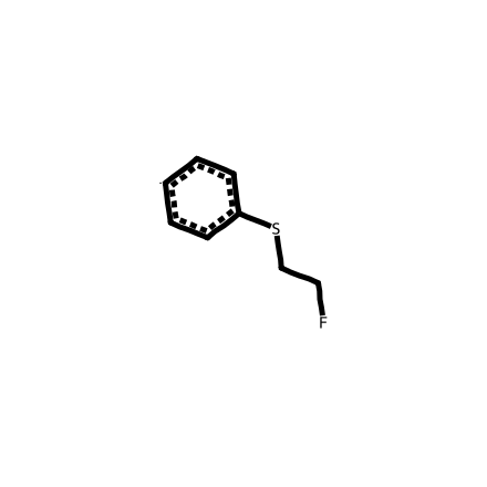 FCCSc1cc[c]cc1